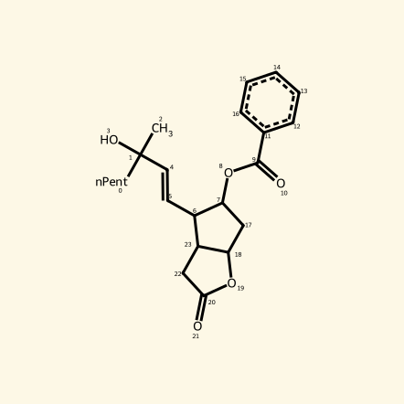 CCCCCC(C)(O)C=CC1C(OC(=O)c2ccccc2)CC2OC(=O)CC21